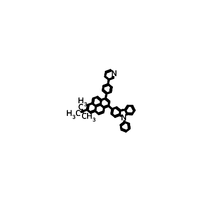 CC(C)(C)c1cc2ccc3c(-c4ccc(C5C=NC=CC5)cc4)cc(-c4ccc5c(c4)c4ccccc4n5-c4ccccc4)c4ccc(c1)c2c34